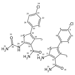 Cc1c(-c2ccc(Cl)cc2)sc(N)c1C(N)=O.Cc1c(-c2ccc(Cl)cc2)sc(NC(N)=O)c1C(N)=O